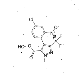 Cn1nc(C(F)(F)F)c(-c2ccc(Cl)cc2[N+](=O)[O-])c1C(=O)OO